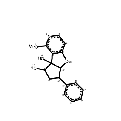 COc1nccc2c1C1(O)C(O)CC(c3ccccc3)C1O2